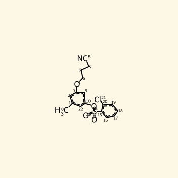 Cc1cc(OCCCC#N)cc(OS(=O)(=O)c2ccccc2Cl)c1